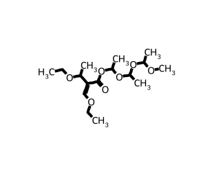 CCOC=C(C(=O)OC(C)OC(C)OC(C)OC)C(C)OCC